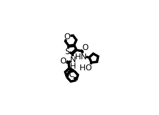 O=C(NC1CCCC1O)c1c(NC(=O)C23CC4CC(CC2C4)C3)sc2c1CCOC2